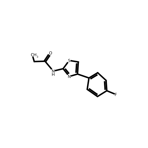 CCC(=O)Nc1nc(-c2ccc(F)cc2)cs1